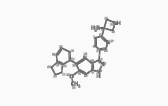 BC1(c2ccc(-c3n[nH]c4cc(OC)c(-c5cccc6c5CCC6)nc34)cn2)CNC1